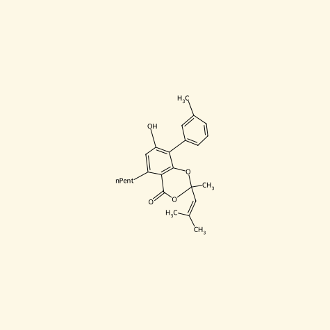 CCCCCc1cc(O)c(-c2cccc(C)c2)c2c1C(=O)OC(C)(C=C(C)C)O2